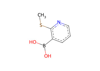 CSc1ncccc1B(O)O